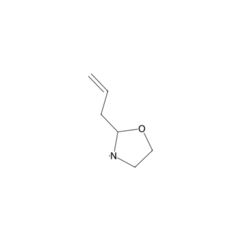 C=CCC1[N]CCO1